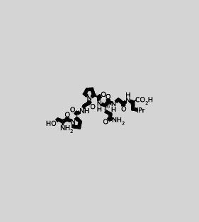 CC(C)C[C@H](NC(=O)CNC(=O)[C@H](CCC(N)=O)NC(=O)[C@@H]1CCCN1C(=O)CNC(=O)[C@@H]1CCCN1C(=O)[C@@H](N)CO)C(=O)O